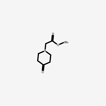 CC(C)(C)OC(=O)CN1CCC(=O)CC1